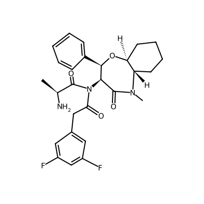 C[C@H](N)C(=O)N(C(=O)Cc1cc(F)cc(F)c1)[C@@H]1C(=O)N(C)[C@H]2CCCC[C@@H]2O[C@@H]1c1ccccc1